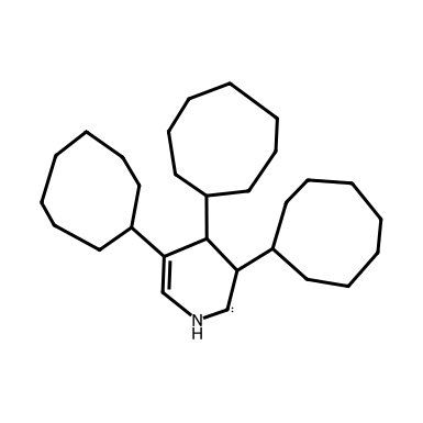 [C]1NC=C(C2CCCCCCC2)C(C2CCCCCCC2)C1C1CCCCCCC1